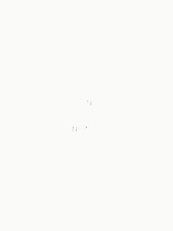 [Nb+3].[Nb+3].[S-2].[S-2].[S-2]